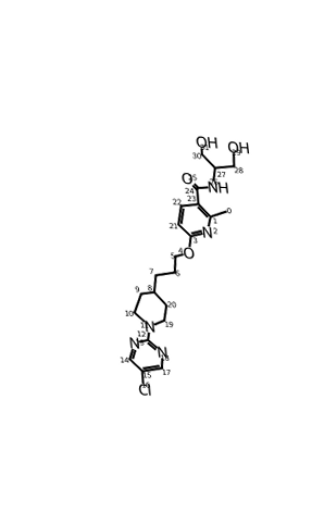 Cc1nc(OCCCC2CCN(c3ncc(Cl)cn3)CC2)ccc1C(=O)NC(CO)CO